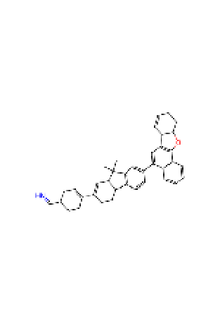 CC1(C)c2cc(C3=CC4=C(OC5CCC=CC45)C4C=CC=CC34)ccc2C2CCC(C3=CCC(C=N)CC3)=CC21